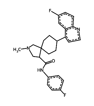 CN1CC(C(=O)Nc2ccc(F)cc2)C2(CCC(c3ccnc4ccc(F)cc34)CC2)C1